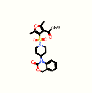 COC(=O)c1c(C)oc(C)c1S(=O)(=O)N1CCC(N2C(=O)OCc3ccccc32)CC1